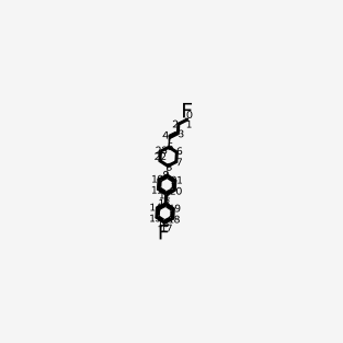 FCCC=C[C@H]1CC[C@H](c2ccc(-c3ccc(F)cc3)cc2)CC1